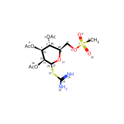 CC(=O)O[C@H]1[C@H](OC(C)=O)[C@@H](COS(C)(=O)=O)O[C@@H](SC(=N)N)[C@H]1OC(C)=O